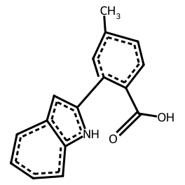 Cc1ccc(C(=O)O)c(-c2cc3ccccc3[nH]2)c1